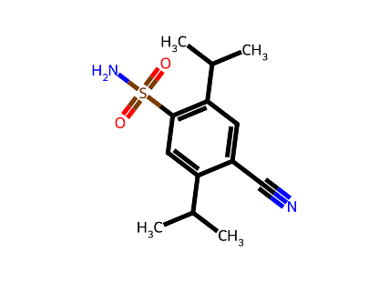 CC(C)c1cc(S(N)(=O)=O)c(C(C)C)cc1C#N